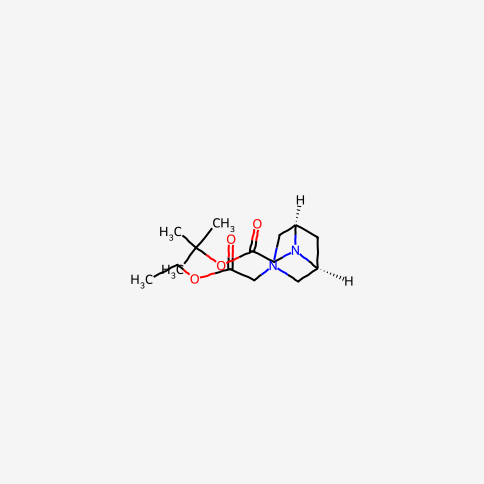 CCOC(=O)CN1C[C@H]2C[C@@H](C1)N2CC(=O)OC(C)(C)C